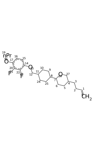 C=CCCC1CCC(C2CCC(COc3ccc(OCCC)c(F)c3F)CC2)OC1